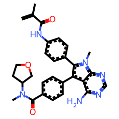 C=C(C)C(=O)Nc1ccc(-c2c(-c3ccc(C(=O)N(C)C4CCOC4)cc3)c3c(N)ncnc3n2C)cc1